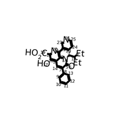 CCC(CC)Cn1c(=O)c(-c2ccccc2)cc2c(O)c(C(=O)O)nc(-c3cccnc3)c21